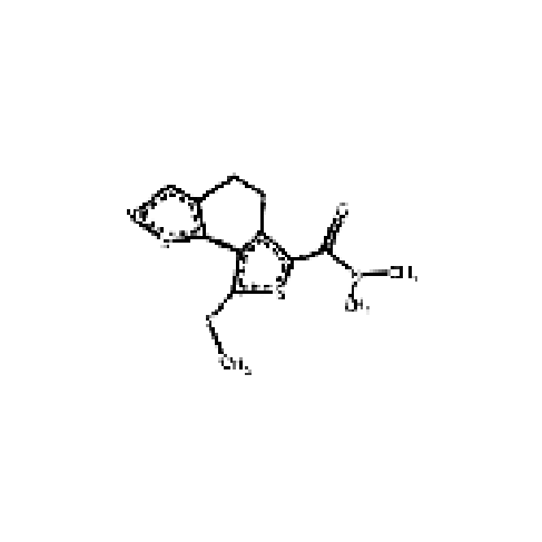 CSc1sc(C(=O)N(C)C)c2c1-c1sncc1CC2